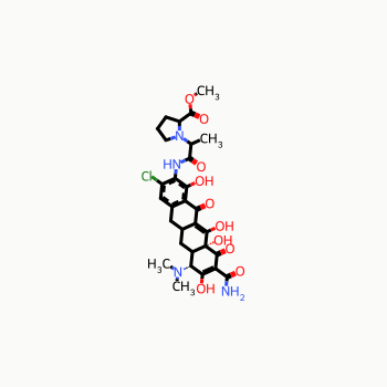 COC(=O)C1CCCN1C(C)C(=O)Nc1c(Cl)cc2c(c1O)C(=O)C1=C(O)[C@@]3(O)C(=O)C(C(N)=O)=C(O)[C@H](N(C)C)C3CC1C2